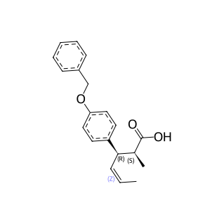 C/C=C\[C@@H](c1ccc(OCc2ccccc2)cc1)[C@H](C)C(=O)O